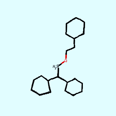 C1CCC(CCO[SiH2]C(C2CCCCC2)C2CCCCC2)CC1